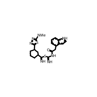 CNc1nnc(C2CCCC(C(=N)SC(=N)NC(=O)Cc3cccc4[nH]ccc34)C2)s1